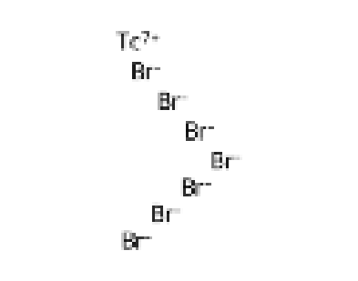 [Br-].[Br-].[Br-].[Br-].[Br-].[Br-].[Br-].[Tc+7]